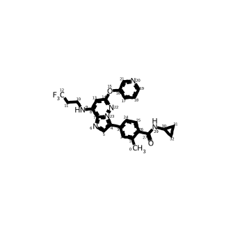 Cc1cc(-c2cnc3c(NCCC(F)(F)F)cc(Oc4cccnc4)nn23)ccc1C(=O)NC1CC1